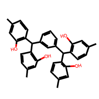 Cc1ccc(C(c2cccc(C(c3ccc(C)cc3O)c3ccc(C)cc3O)c2)c2ccc(C)cc2O)c(O)c1